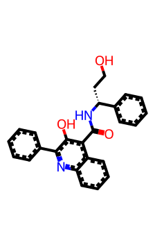 O=C(N[C@H](CCO)c1ccccc1)c1c(O)c(-c2ccccc2)nc2ccccc12